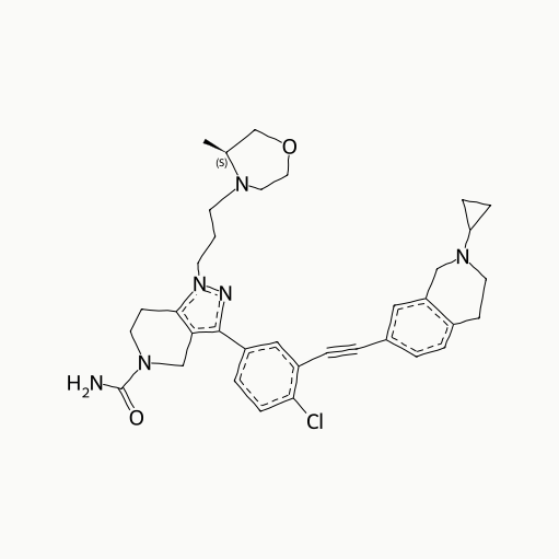 C[C@H]1COCCN1CCCn1nc(-c2ccc(Cl)c(C#Cc3ccc4c(c3)CN(C3CC3)CC4)c2)c2c1CCN(C(N)=O)C2